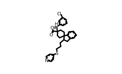 O=C(O)C1(Nc2cccc(Cl)c2)CCC2(CC1)c1ccccc1CC2CCCSc1ccncc1